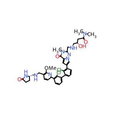 COc1nc(-c2cccc(-c3cccc(-c4cc5c(=O)n(C)c(CNC[C@H](O)CC(=O)N(C)C)nn5c4)c3Cl)c2Cl)ccc1CNC[C@@H]1CCC(=O)N1